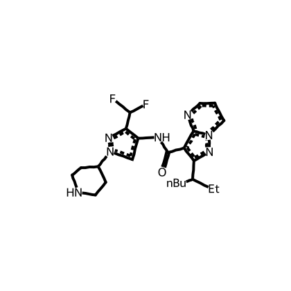 CCCCC(CC)c1nn2cccnc2c1C(=O)Nc1cn(C2CCNCC2)nc1C(F)F